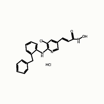 Cl.O=C(C=Cc1cnc(Nc2ccccc2Cc2ccccc2)c(Cl)c1)NO